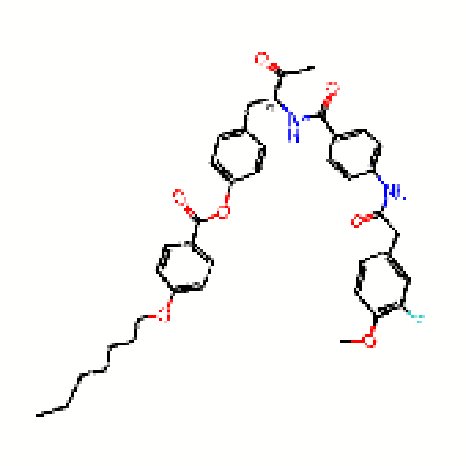 CCCCCCCOc1ccc(C(=O)Oc2ccc(C[C@H](NC(=O)c3ccc(NC(=O)Cc4ccc(OC)c(F)c4)cc3)C(C)=O)cc2)cc1